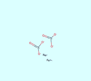 [Fe+3].[Na+].[O]=[Ti]([O-])[O-].[O]=[Ti]([O-])[O-]